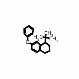 CC(C)(C)C1CCCc2ccc(Oc3ccccc3)cc21